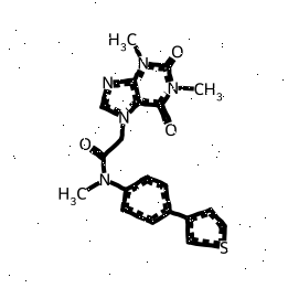 CN(C(=O)Cn1cnc2c1c(=O)n(C)c(=O)n2C)c1ccc(-c2ccsc2)cc1